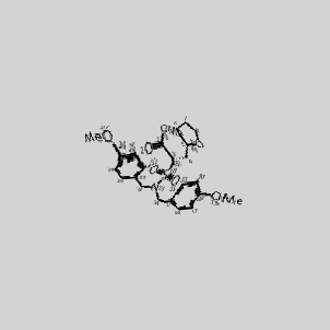 COC(=O)[C@H](C[C@H]1CCCO1)S(=O)(=O)N(Cc1ccc(OC)cc1)Cc1ccc(OC)cc1